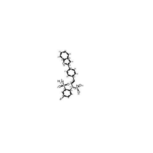 NS(=O)(=O)c1cc(F)ccc1N(C=Cc1ccc(-c2cc3ccccc3o2)cc1)[SH](=O)=O